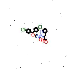 O=C(NC(Cc1ccccc1)C1=COCO1)N1CC(OC(c2ccc(Cl)cc2)c2ccc(Cl)cc2)C1